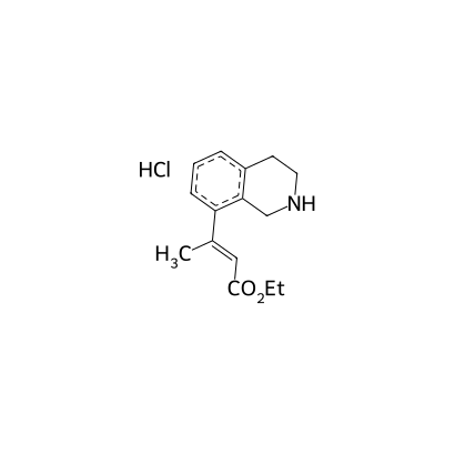 CCOC(=O)C=C(C)c1cccc2c1CNCC2.Cl